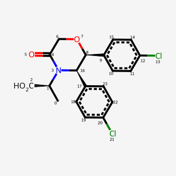 C[C@@H](C(=O)O)N1C(=O)CO[C@@H](c2ccc(Cl)cc2)[C@H]1c1ccc(Cl)cc1